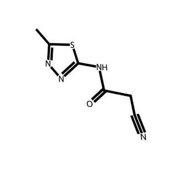 Cc1nnc(NC(=O)CC#N)s1